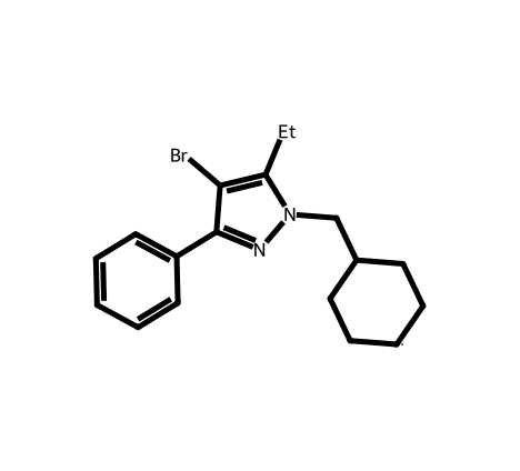 CCc1c(Br)c(-c2ccccc2)nn1CC1CC[CH]CC1